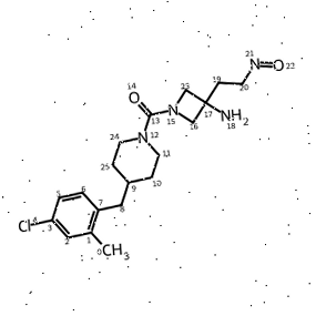 Cc1cc(Cl)ccc1CC1CCN(C(=O)N2CC(N)(CCN=O)C2)CC1